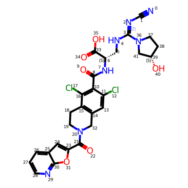 N#C/N=C(/NC[C@H](NC(=O)c1c(Cl)cc2c(c1Cl)CCN(C(=O)c1cc3cccnc3o1)C2)C(=O)O)N1CC[C@H](O)C1